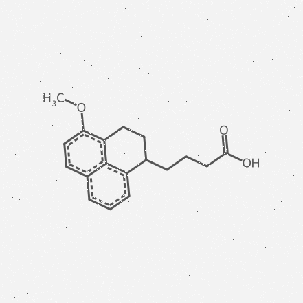 COc1ccc2cccc3c2c1CCC3CCCC(=O)O